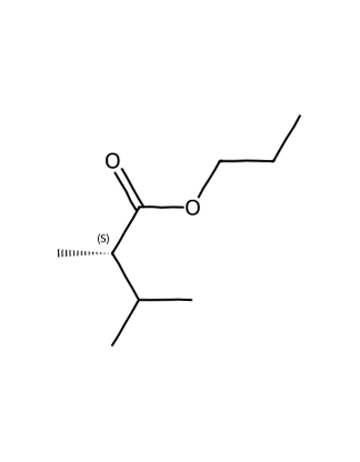 CCCOC(=O)[C@@H](C)C(C)C